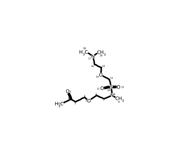 CC(=O)CCOCCN(C)S(=O)(=O)COCCN(C)C